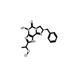 CCCN1C(=O)N2C[C@@H](Cc3ccccc3)N=C2c2[nH]c(C(C)OCC)nc21